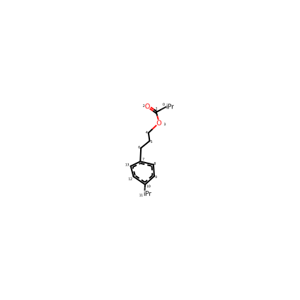 CC(C)C(=O)OCCCc1ccc(C(C)C)cc1